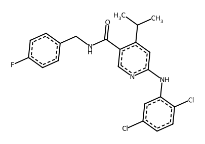 CC(C)c1cc(Nc2cc(Cl)ccc2Cl)ncc1C(=O)NCc1ccc(F)cc1